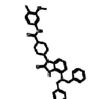 COc1cc(NC(=O)C2CCC(n3c(=O)[nH]c4c(N(Cc5ccccc5)Cc5ccccc5)cccc43)CC2)ccc1C